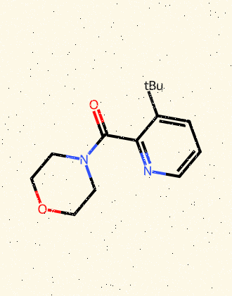 CC(C)(C)c1cccnc1C(=O)N1CCOCC1